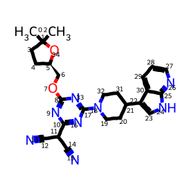 CC1(C)CC[C@H](COc2nc(C(C#N)C#N)nc(N3CCC(c4c[nH]c5ncccc45)CC3)n2)O1